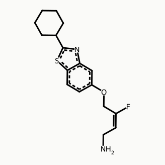 NC/C=C(/F)COc1ccc2sc(C3CCCCC3)nc2c1